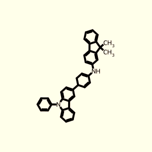 CC1(C)c2ccccc2-c2ccc(NC3=CCC(c4ccc5c(c4)c4ccccc4n5-c4ccccc4)C=C3)cc21